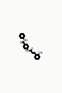 N#Cc1ccccc1/C=C/C(=O)Nc1ccc(C(=O)Nc2ccccc2)cc1